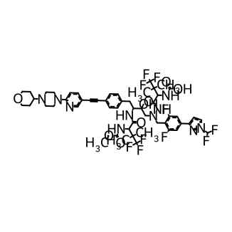 COC(=O)NC(C(=O)NC(Cc1ccc(C#Cc2ccc(N3CCN(C4CCOCC4)CC3)nc2)cc1)C(O)CN(Cc1c(F)cc(-c2ccn(C(F)F)n2)cc1F)NC(=O)C(NC(=O)O)C(C)(C)C(F)(F)F)C(C)(C)C(F)(F)F